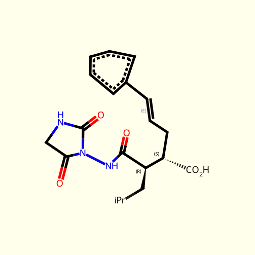 CC(C)C[C@@H](C(=O)NN1C(=O)CNC1=O)[C@H](C/C=C/c1ccccc1)C(=O)O